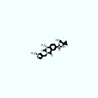 C#CC1(NS(=O)(=O)c2ccc3c(c2)c(=O)n(Cc2cnn(C)c2)c(=O)n3C)CC1